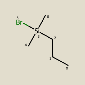 CCC[Si](C)(C)Br